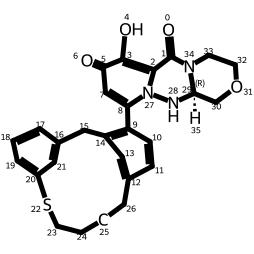 O=C1c2c(O)c(=O)cc(-c3ccc4cc3Cc3cccc(c3)SCCCC4)n2N[C@@H]2COCCN12